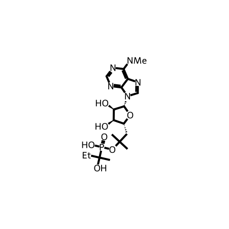 CCC(C)(O)P(=O)(O)OC(C)(C)C[C@H]1O[C@@H](n2cnc3c(NC)ncnc32)[C@H](O)[C@@H]1O